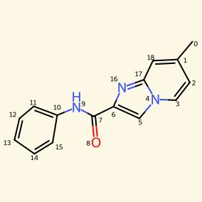 Cc1ccn2cc(C(=O)Nc3ccccc3)nc2c1